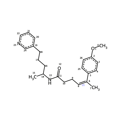 COc1ccc(/C(C)=C\CCC(=O)NC(C)CCCc2cccnc2)cc1